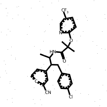 CC(NC(=O)C(C)(C)Oc1ccc(C(F)(F)[18F])cn1)C(Cc1ccc(Cl)cc1)c1cccc(C#N)c1